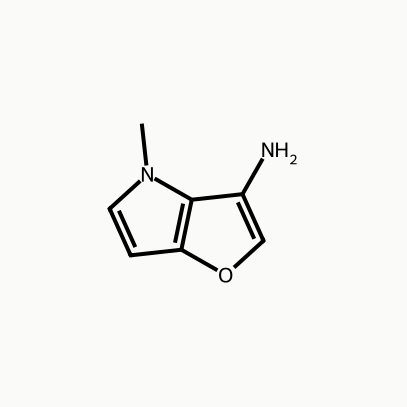 Cn1ccc2occ(N)c21